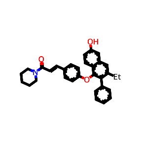 CCc1cc2cc(O)ccc2c(Oc2ccc(/C=C/C(=O)N3CCCCC3)cc2)c1-c1ccccc1